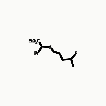 CCOC(=O)C(SCCCC(C)F)C(C)C